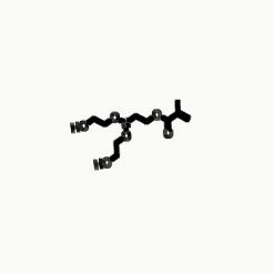 C=C(C)C(=O)OCCN(OCCO)OCCO